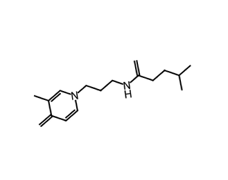 C=C(CCC(C)C)NCCCN1C=CC(=C)C(C)=C1